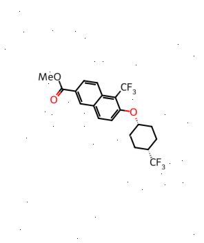 COC(=O)c1ccc2c(C(F)(F)F)c(O[C@H]3CC[C@@H](C(F)(F)F)CC3)ccc2c1